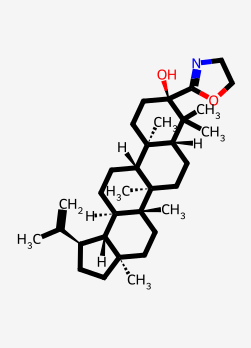 C=C(C)[C@@H]1CC[C@]2(C)CC[C@]3(C)[C@H](CC[C@@H]4[C@@]5(C)CC[C@](O)(C6=NCCO6)C(C)(C)[C@@H]5CC[C@]43C)[C@@H]12